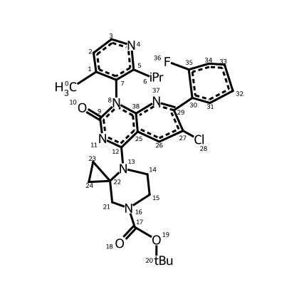 Cc1ccnc(C(C)C)c1-n1c(=O)nc(N2CCN(C(=O)OC(C)(C)C)CC23CC3)c2cc(Cl)c(-c3ccccc3F)nc21